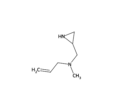 C=CCN(C)CC1CN1